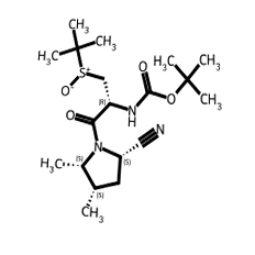 C[C@H]1C[C@@H](C#N)N(C(=O)[C@H](C[S+]([O-])C(C)(C)C)NC(=O)OC(C)(C)C)[C@H]1C